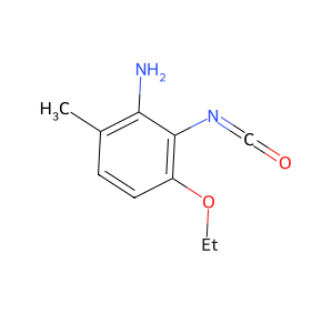 CCOc1ccc(C)c(N)c1N=C=O